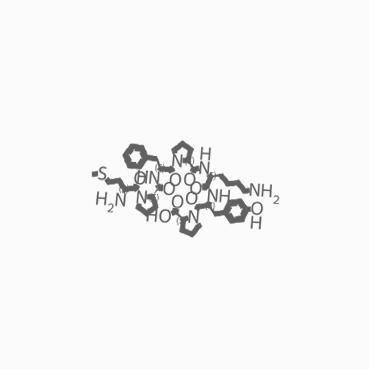 CSCC[C@H](N)C(=O)N1CCC[C@H]1C(=O)N[C@@H](Cc1ccccc1)C(=O)N1CCC[C@H]1C(=O)N[C@@H](CCCCN)C(=O)N[C@@H](Cc1ccc(O)cc1)C(=O)N1CCC[C@H]1C(=O)O